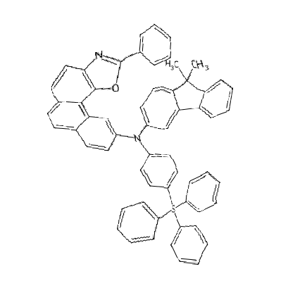 CC1(C)c2ccccc2-c2cc(N(c3ccc(S(c4ccccc4)(c4ccccc4)c4ccccc4)cc3)c3ccc4ccc5ccc6nc(-c7ccccc7)oc6c5c4c3)ccc21